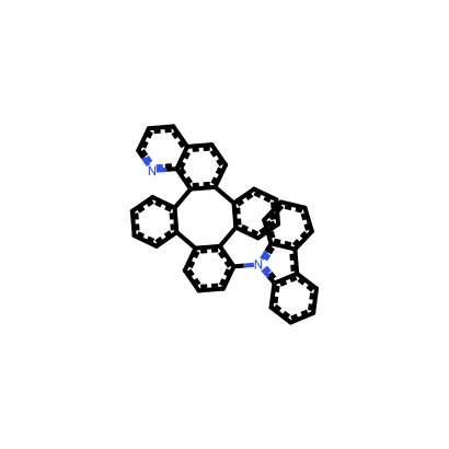 c1ccc2c(c1)-c1ccc3cccnc3c1-c1ccccc1-c1cccc(-n3c4ccccc4c4ccccc43)c1-2